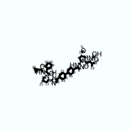 COC[C@H]1C[C@@H](c2ncc(-c3ccc(-c4ccc(-c5cnc([C@@H]6C[C@H](C)CN6C(=O)[C@H](NC(=O)C6CC6)c6ccccc6)[nH]5)cc4)cc3)[nH]2)N(C(=O)[C@@H](NC(=O)O)C(C)C)C1